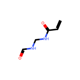 C=CC(=O)NCNC=O